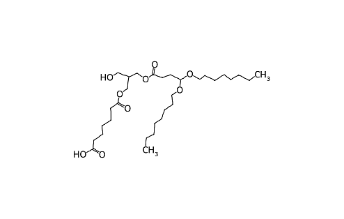 CCCCCCCCOC(CCC(=O)OCC(CO)COC(=O)CCCCCC(=O)O)OCCCCCCCC